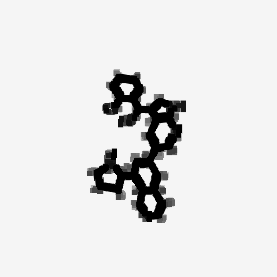 OC(c1ccccc1Cl)c1c[nH]c2ncc(-c3cc(C4CCCN4)c4cnccc4c3)cc12